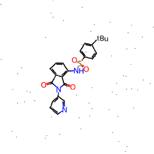 CC(C)(C)c1ccc(S(=O)(=O)Nc2cccc3c2C(=O)N(c2cccnc2)C3=O)cc1